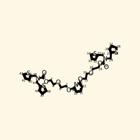 O=C(OCCOCCOc1cccc(OCCOCCOC(=O)N(Cc2cccs2)Cc2cccs2)n1)N(Cc1cccs1)Cc1cccs1